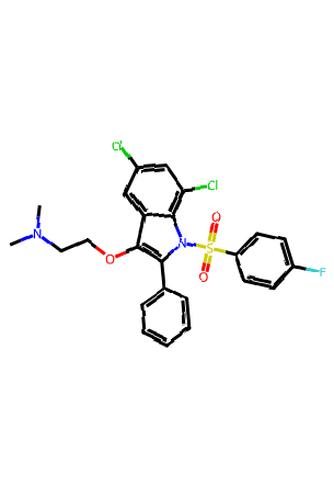 CN(C)CCOc1c(-c2ccccc2)n(S(=O)(=O)c2ccc(F)cc2)c2c(Cl)cc(Cl)cc12